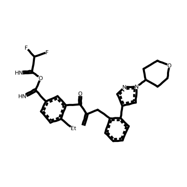 C=C(Cc1ccccc1-c1cnn(C2CCOCC2)c1)C(=O)c1cc(C(=N)OC(=N)C(F)F)ccc1CC